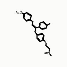 CC(=O)Oc1ccc(C/C=C(/Cc2ccc(OCCN(C)C)cc2)c2ccc(C)cc2)cc1